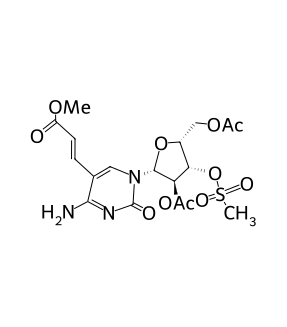 COC(=O)C=Cc1cn([C@@H]2O[C@H](COC(C)=O)[C@H](OS(C)(=O)=O)[C@H]2OC(C)=O)c(=O)nc1N